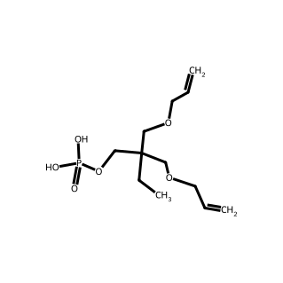 C=CCOCC(CC)(COCC=C)COP(=O)(O)O